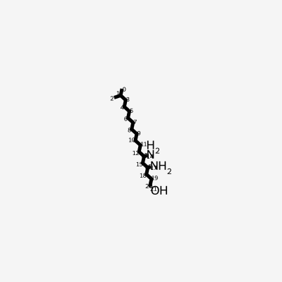 CC(C)CCCCCCCCCCC(N)CC(N)CCCO